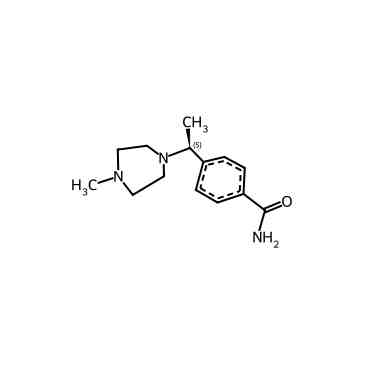 C[C@@H](c1ccc(C(N)=O)cc1)N1CCN(C)CC1